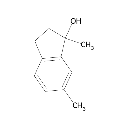 Cc1ccc2c(c1)C(C)(O)CC2